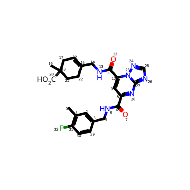 Cc1cc(CNC(=O)c2cc(C(=O)NCC3=CCC(C)(C(=O)O)CC3)n3ncnc3n2)ccc1F